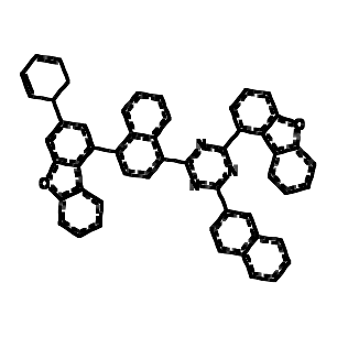 C1=CCC(c2cc(-c3ccc(-c4nc(-c5ccc6ccccc6c5)nc(-c5cccc6oc7ccccc7c56)n4)c4ccccc34)c3c(c2)oc2ccccc23)C=C1